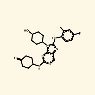 O=C1CCC(Nc2ncc3nc(Nc4ccc(F)cc4F)n(C4CCC(O)CC4)c3n2)CC1